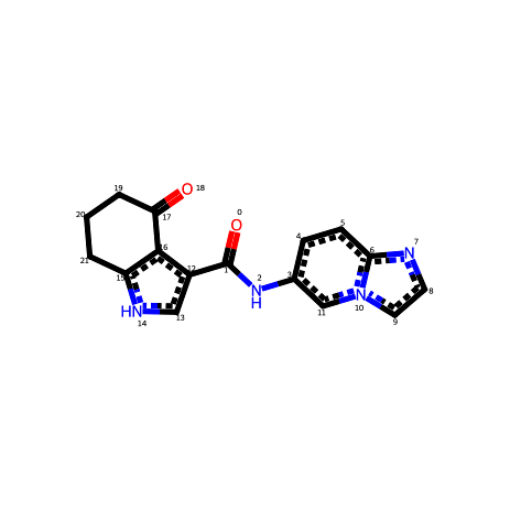 O=C(Nc1ccc2nccn2c1)c1c[nH]c2c1C(=O)CCC2